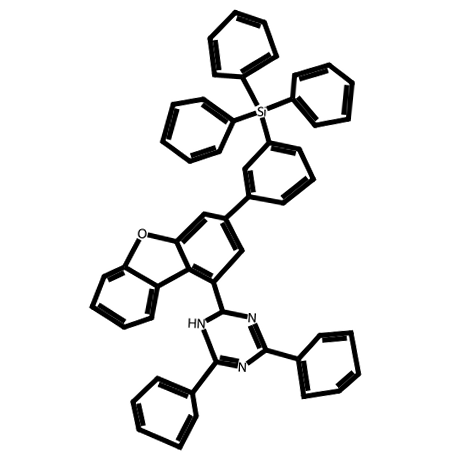 c1ccc(C2=NC(c3cc(-c4cccc([Si](c5ccccc5)(c5ccccc5)c5ccccc5)c4)cc4oc5ccccc5c34)NC(c3ccccc3)=N2)cc1